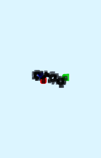 O=C(C1CC1c1ccc(C2CCCC(Cl)C2)cc1)N1CCCCC1